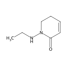 CCNN1CCC=CC1=O